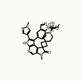 [2H]C([2H])([2H])n1ncc2cc(-c3c(-c4cnn(C)c4)[nH]c4ncc5c(c34)C3(CC4(CCN(C(=O)OC)CC4)C3)C(=O)N5C)ccc21